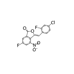 O=C1O/C(=C\c2ccc(Cl)cc2F)c2c1cc(F)cc2[N+](=O)[O-]